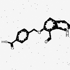 O=Cc1c(OCc2ccc(C(=O)O)cc2)ccc2cc[nH]c12